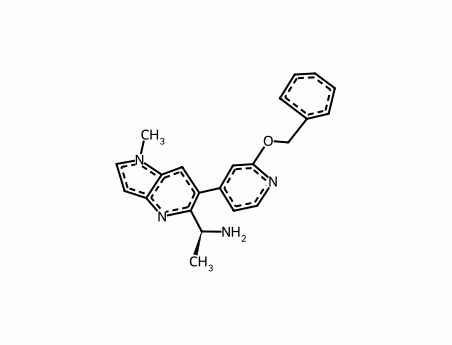 C[C@H](N)c1nc2ccn(C)c2cc1-c1ccnc(OCc2ccccc2)c1